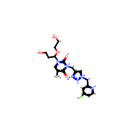 Cc1cn(C(CCO)OCCO)c(=O)n(Cc2cn(Cc3cc(F)ccn3)nn2)c1=O